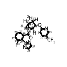 [2H]C1([2H])[C@H]2C[C@@H]([C@@H]1Oc1ccc(C(F)(F)F)cn1)N(C(=O)c1cccc(F)c1-n1nccn1)[C@@H]2C